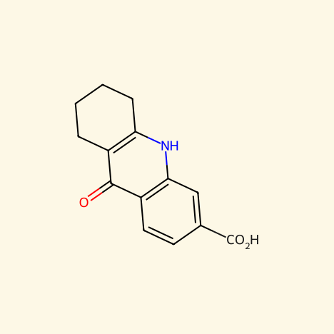 O=C(O)c1ccc2c(=O)c3c([nH]c2c1)CCCC3